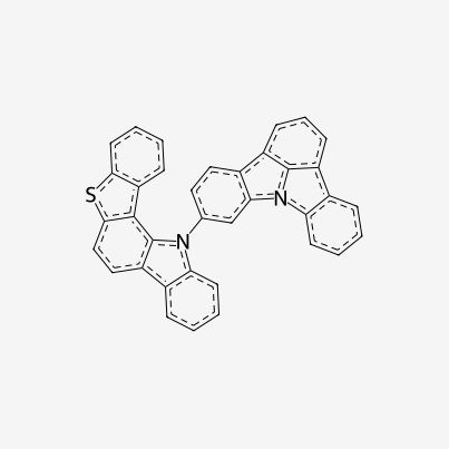 c1ccc2c(c1)sc1ccc3c4ccccc4n(-c4ccc5c6cccc7c8ccccc8n(c5c4)c76)c3c12